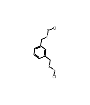 ClSSCc1cccc(CSSCl)c1